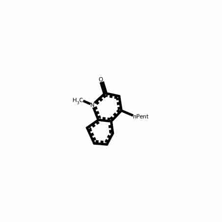 CCCCCc1cc(=O)n(C)c2ccccc12